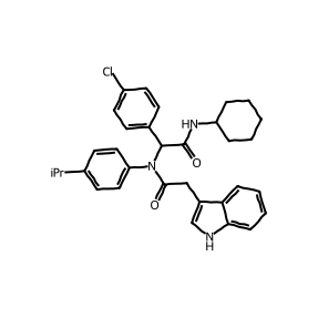 CC(C)c1ccc(N(C(=O)Cc2c[nH]c3ccccc23)C(C(=O)NC2CCCCC2)c2ccc(Cl)cc2)cc1